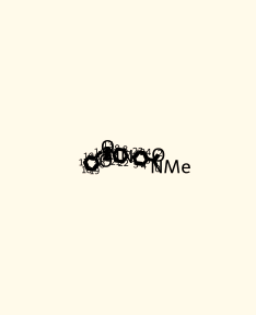 CNC(=O)c1ccc(N2CCN(S(=O)(=O)Cc3ccccc3)CC2)cc1